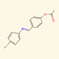 CC(=O)Oc1ccc(C=Nc2ccc(F)cc2)cc1